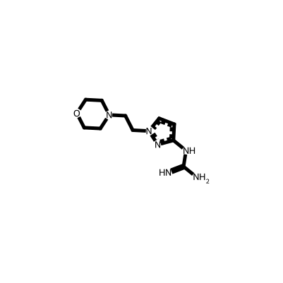 N=C(N)Nc1ccn(CCN2CCOCC2)n1